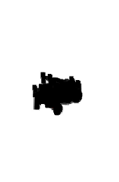 CC(=O)N1CC(Nc2cc(C(=O)NC[C@@H](O)[C@@H]3Cc4ccc(O)cc4CN3)cc(N3CCCCC3)n2)C1.COCOc1ccc2c(c1)CN(C(=O)OC(C)(C)C)[C@H]([C@H](O)CNC(=O)c1cc(NC3CN(C(C)=O)C3)nc(N3CCCCC3)c1)C2